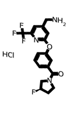 Cl.NCc1cc(Oc2cccc(C(=O)N3CC[C@@H](F)C3)c2)nc(C(F)(F)F)c1